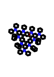 c1ccc(N(c2ccccc2)c2cc3c4c(c2)N(C25CC6CC(CC(C6)C2)C5)c2cc5c(cc2B4c2ccccc2N3c2ccccc2)B2c3cc4c(cc3N(C36CC7CC(CC(C7)C3)C6)c3cc(N(c6ccccc6)c6ccccc6)cc(c32)N5C23CC5CC(CC(C5)C2)C3)N(C23CC5CC(CC(C5)C2)C3)c2cc(N(c3ccccc3)c3ccccc3)cc3c2B4c2ccccc2N3c2ccccc2)cc1